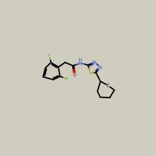 O=C(Cc1c(F)cccc1F)Nc1nnc(C2CCCCC2)s1